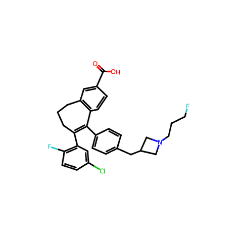 O=C(O)c1ccc2c(c1)CCCC(c1cc(Cl)ccc1F)=C2c1ccc(CC2CN(CCCF)C2)cc1